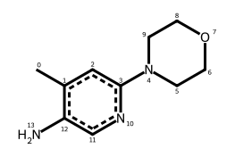 Cc1cc(N2CCOCC2)ncc1N